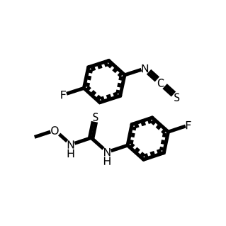 CONC(=S)Nc1ccc(F)cc1.Fc1ccc(N=C=S)cc1